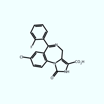 O=C(O)c1[nH]c(=O)n2c1CN=C(c1ccccc1F)c1cc(Cl)ccc1-2